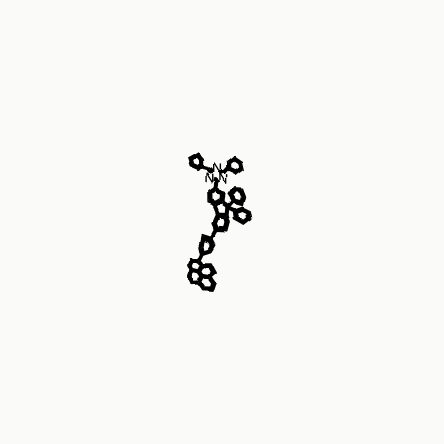 c1ccc(-c2nc(-c3ccccc3)nc(-c3ccc4c(c3)C(c3ccccc3)(c3ccccc3)c3ccc(-c5ccc(-c6ccc7ccc8cccc9ccc6c7c89)cc5)cc3-4)n2)cc1